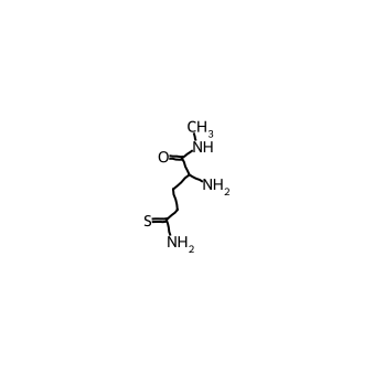 CNC(=O)C(N)CCC(N)=S